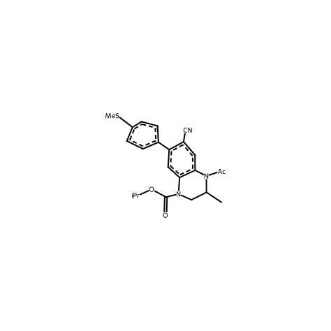 CSc1ccc(-c2cc3c(cc2C#N)N(C(C)=O)C(C)CN3C(=O)OC(C)C)cc1